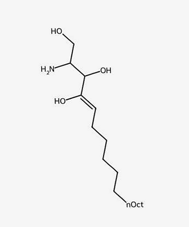 CCCCCCCCCCCCCC=C(O)C(O)C(N)CO